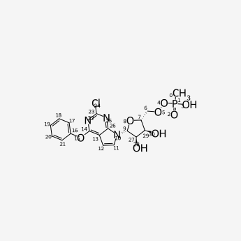 CP(=O)(O)OOC[C@H]1O[C@@H](n2ccc3c(Oc4ccccc4)nc(Cl)nc32)[C@H](O)[C@@H]1O